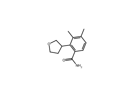 Cc1ccc(C(N)=O)c(C2CCOC2)c1C